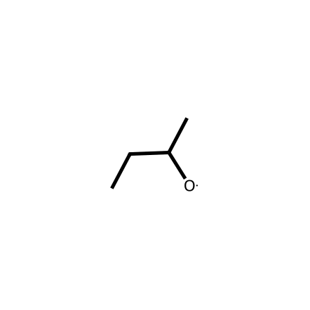 CCC(C)[O]